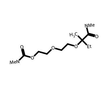 CCC(C)(OCCOCCOC(=O)NC)C(=O)NC